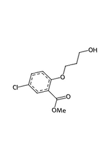 COC(=O)c1cc(Cl)ccc1OCCCO